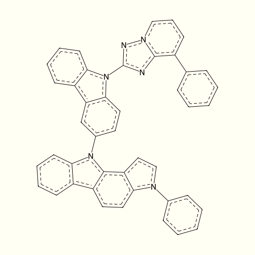 c1ccc(-c2cccn3nc(-n4c5ccccc5c5cc(-n6c7ccccc7c7ccc8c(ccn8-c8ccccc8)c76)ccc54)nc23)cc1